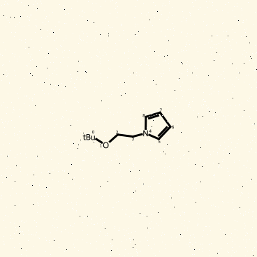 CC(C)(C)OCCn1cccc1